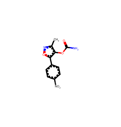 Cc1noc(-c2ccc([N+](=O)[O-])cc2)c1OC(N)=O